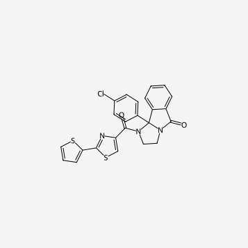 O=C(c1csc(-c2cccs2)n1)N1CCN2C(=O)c3ccccc3C12c1ccc(Cl)cc1